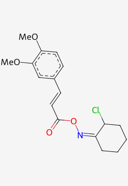 COc1ccc(C=CC(=O)ON=C2CCCCC2Cl)cc1OC